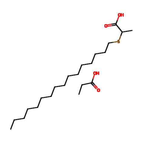 CCC(=O)O.CCCCCCCCCCCCCCCCSC(C)C(=O)O